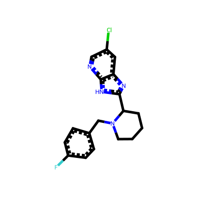 Fc1ccc(CN2CCCCC2c2nc3cc(Cl)cnc3[nH]2)cc1